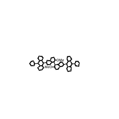 COc1ccc2cc(-c3c4ccccc4c(-c4ccccc4)c4ccccc34)ccc2c1-c1c(OC)ccc2cc(-c3c4ccccc4c(-c4ccccc4)c4ccccc34)ccc12